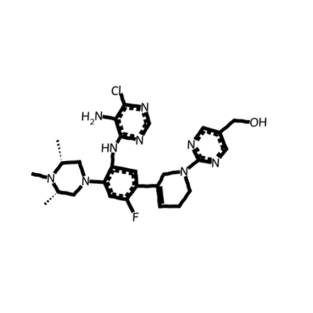 C[C@@H]1CN(c2cc(F)c(C3=CCCN(c4ncc(CO)cn4)C3)cc2Nc2ncnc(Cl)c2N)C[C@H](C)N1C